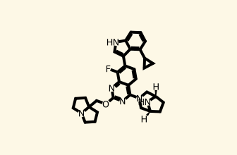 Fc1c(-c2c[nH]c3cccc(C4CC4)c23)ccc2c(N3C[C@H]4CC[C@@H](C3)N4)nc(OCC34CCCN3CCC4)nc12